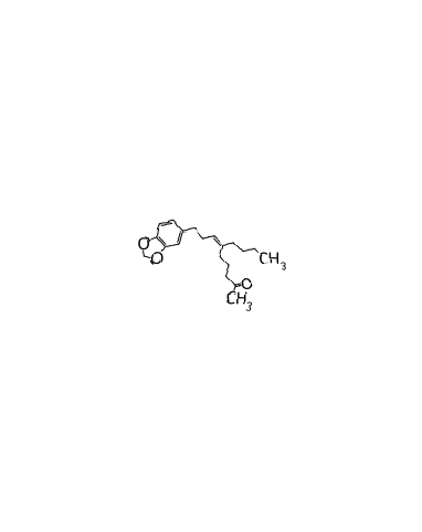 CCCCC(=CCCc1ccc2c(c1)OCO2)CCCC(C)=O